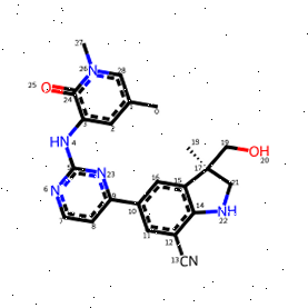 Cc1cc(Nc2nccc(-c3cc(C#N)c4c(c3)[C@@](C)(CO)CN4)n2)c(=O)n(C)c1